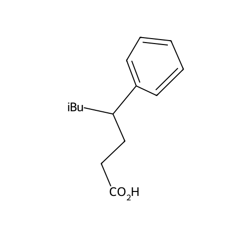 CCC(C)C(CCC(=O)O)c1ccccc1